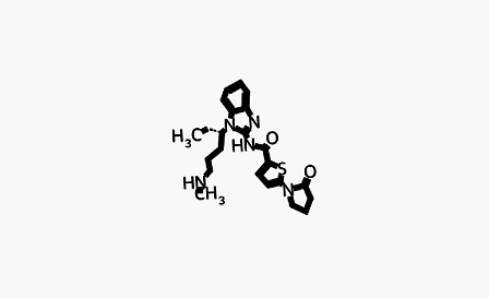 CC[C@@H](CCCNC)n1c(NC(=O)c2ccc(N3CCCC3=O)s2)nc2ccccc21